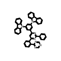 c1ccc(-c2nc(-c3cc(-n4c5ccccc5c5ccccc54)cc(-n4c5ccccc5c5ccccc54)c3)cc(-c3ccccc3-c3ncncn3)n2)cc1